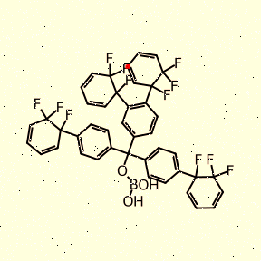 OB(O)OC(c1ccc(C2(F)C=CC=CC2(F)F)cc1)(c1ccc(C2(F)C=CC=CC2(F)F)cc1)c1ccc(C2(F)C=CC=CC2(F)F)c(C2(F)C=CC=CC2(F)F)c1